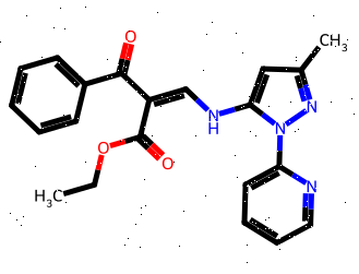 CCOC(=O)C(=CNc1cc(C)nn1-c1ccccn1)C(=O)c1ccccc1